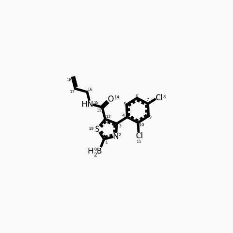 Bc1nc(-c2ccc(Cl)cc2Cl)c(C(=O)NCC=C)s1